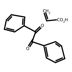 C=CC(=O)O.O=C(C(=O)c1ccccc1)c1ccccc1